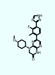 CO[C@H]1CC[C@@H](N2CC(=O)Nc3ncc(-c4ccc(-c5nc[nH]n5)c(F)c4C)nc32)CC1